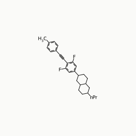 CCCC1CCC2CC(c3cc(F)c(C#Cc4ccc(C)cc4)c(F)c3)CCC2C1